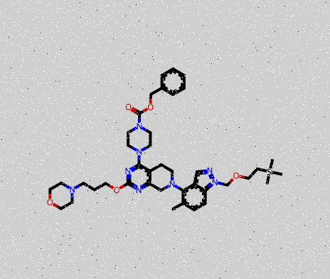 Cc1ccc2c(cnn2COCC[Si](C)(C)C)c1N1CCc2c(nc(OCCCN3CCOCC3)nc2N2CCN(C(=O)OCc3ccccc3)CC2)C1